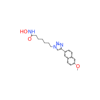 COc1ccc2cc(-c3cn(CCCCCCC(=O)NO)nn3)ccc2c1